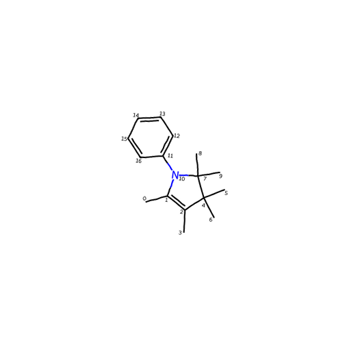 CC1=C(C)C(C)(C)C(C)(C)N1c1ccccc1